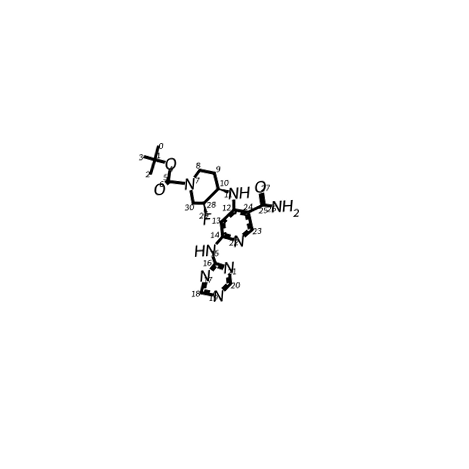 CC(C)(C)OC(=O)N1CC[C@@H](Nc2cc(Nc3ncncn3)ncc2C(N)=O)[C@@H](F)C1